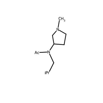 CC(=O)N(CC(C)C)C1CCN(C)C1